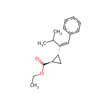 CCOC(=O)[C@@H]1C[C@H]1/C(=C/c1ccccc1)C(C)C